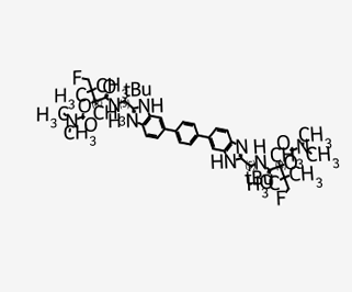 CN(C)C(=O)O[C@@](C)(C(=O)N[C@H](c1nc2ccc(-c3ccc(-c4ccc5nc([C@@H](NC(=O)[C@](C)(OC(=O)N(C)C)C(C)(C)CF)C(C)(C)C)[nH]c5c4)cc3)cc2[nH]1)C(C)(C)C)C(C)(C)CF